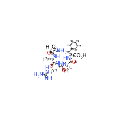 CC(C)C[C@H](NC(=O)[C@H](CCCNC(=N)N)NC(=O)[C@@H](NC(=O)[C@H](C)N)C(C)C)C(=O)N[C@@H](Cc1ccccc1)C(=O)O